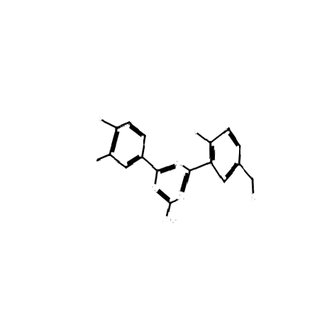 COc1nc(-c2ccc(Cl)c(C)c2)nc(-c2cc(CN)ccc2Cl)n1